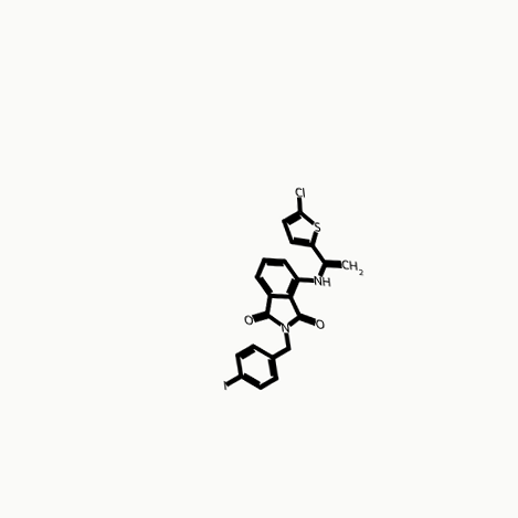 C=C(Nc1cccc2c1C(=O)N(Cc1ccc(I)cc1)C2=O)c1ccc(Cl)s1